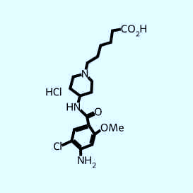 COc1cc(N)c(Cl)cc1C(=O)NC1CCN(CCCCCC(=O)O)CC1.Cl